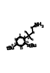 CC(C)(C)c1ccc(C(C)(C)CCN)c(C(C)(C)C)c1